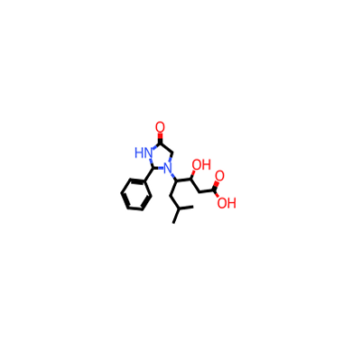 CC(C)CC(C(O)CC(=O)O)N1CC(=O)NC1c1ccccc1